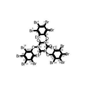 CCc1c(Br)c(Br)c(Br)c(Br)c1On1c(=O)n(Oc2c(Br)c(Br)c(Br)c(Br)c2CC)c(=O)n(Oc2c(Br)c(Br)c(Br)c(Br)c2CC)c1=O